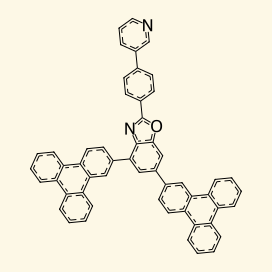 c1cncc(-c2ccc(-c3nc4c(-c5ccc6c7ccccc7c7ccccc7c6c5)cc(-c5ccc6c7ccccc7c7ccccc7c6c5)cc4o3)cc2)c1